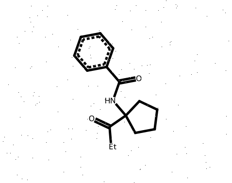 CCC(=O)C1(NC(=O)c2ccccc2)CCCC1